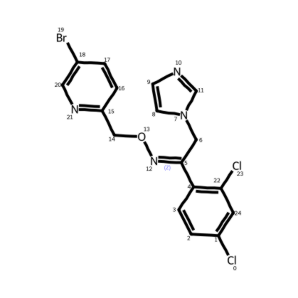 Clc1ccc(/C(Cn2ccnc2)=N/OCc2ccc(Br)cn2)c(Cl)c1